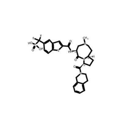 CN1CC[C@H]2CC[C@@H](C(=O)N3CCc4ccccc4C3)N2C(=O)[C@@H](NC(=O)c2cc3cc(C(F)(F)P(=O)(O)O)ccc3s2)C1